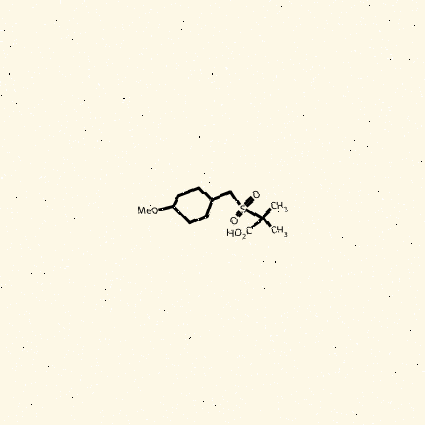 COC1CCC(CS(=O)(=O)C(C)(C)C(=O)O)CC1